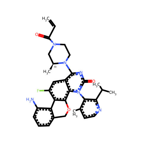 C=CC(=O)N1CCN(c2nc(=O)n(-c3c(C)ccnc3C(C)C)c3c4c(c(F)cc23)-c2c(N)cccc2CO4)[C@@H](C)C1